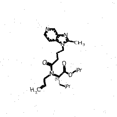 C=CCN(C(=O)CCCn1c(C)nc2cnccc21)[C@@H](CC(C)C)C(=O)OC(C)C